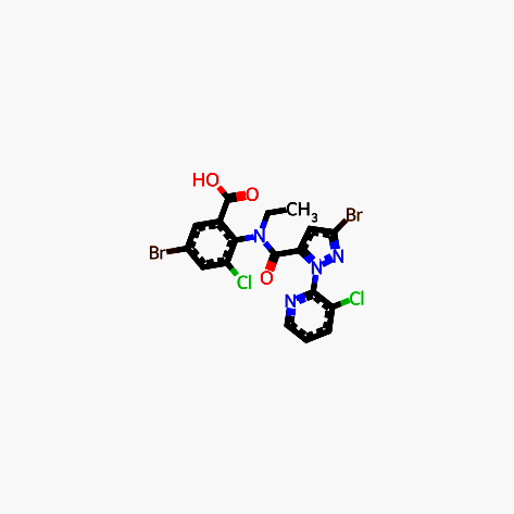 CCN(C(=O)c1cc(Br)nn1-c1ncccc1Cl)c1c(Cl)cc(Br)cc1C(=O)O